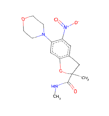 CNC(=O)C1(C)Cc2cc([N+](=O)[O-])c(N3CCOCC3)cc2O1